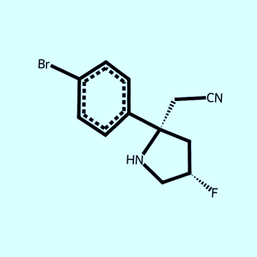 N#CC[C@]1(c2ccc(Br)cc2)C[C@H](F)CN1